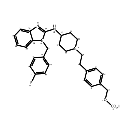 O=C(O)OCc1ccc(CCN2CCC(Nc3nc4ccccc4n3Cc3ccc(F)cc3)CC2)cc1